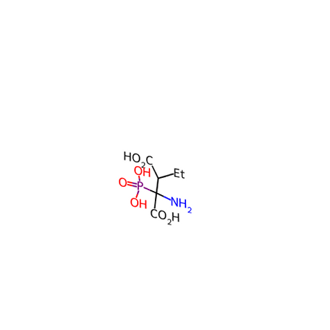 CCC(C(=O)O)C(N)(C(=O)O)P(=O)(O)O